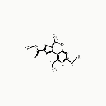 COC(=O)c1cc(-c2cnc(OC)nc2OC)n(C(C)C)c1